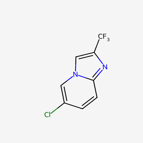 FC(F)(F)c1cn2cc(Cl)ccc2n1